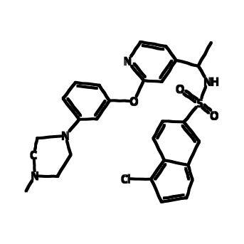 CC(NS(=O)(=O)c1ccc2c(Cl)cccc2c1)c1ccnc(Oc2cccc(N3CCN(C)CC3)c2)c1